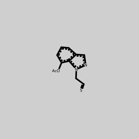 CC(=O)Oc1cccc2cnn(CC=S)c12